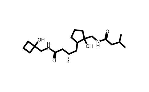 CC(C)CC(=O)NCC1(O)CCCC1C[C@H](C)CC(=O)NCC1(O)CCC1